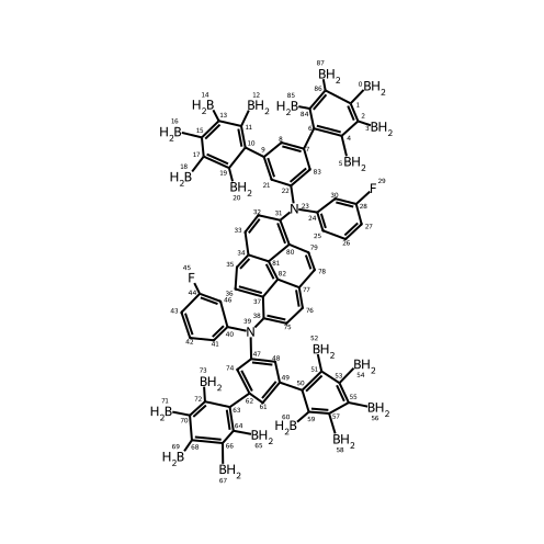 Bc1c(B)c(B)c(-c2cc(-c3c(B)c(B)c(B)c(B)c3B)cc(N(c3cccc(F)c3)c3ccc4ccc5c(N(c6cccc(F)c6)c6cc(-c7c(B)c(B)c(B)c(B)c7B)cc(-c7c(B)c(B)c(B)c(B)c7B)c6)ccc6ccc3c4c65)c2)c(B)c1B